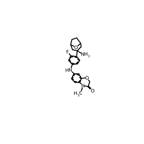 CN1C(=O)COc2cc(Nc3ccc(C4(N)CC5CCC(C4)O5)c(F)c3)ccc21